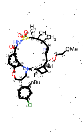 CCCCc1cc(Cl)ccc1[C@@H]1COc2ccc3cc2N(C1)C[C@@H]1CC[C@H]1[C@@H](OCCOC)/C=C/[C@H](C)[C@H](C)[C@@H](C)S(=O)(=O)NC3=O